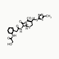 Cc1nnc(SCC2=C(C(=O)O)N3C(=O)C(NC(=O)Cc4ccccc4NC(=O)CO)[C@H]3SC2)s1